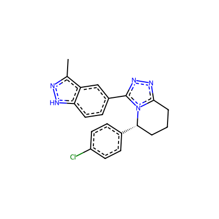 Cc1n[nH]c2ccc(-c3nnc4n3[C@@H](c3ccc(Cl)cc3)CCC4)cc12